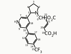 CN1CCCC1c1cncc(-c2ccc(C(F)(F)F)cc2)c1.O=C(O)C=CC(=O)O